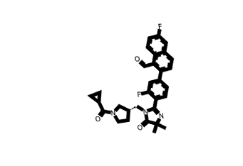 CC1(C)N=C(c2ccc(-c3ccc4cc(F)ccc4c3C=O)cc2F)N(C[C@@H]2CCN(C(=O)C3CC3)C2)C1=O